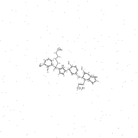 CCOC(=O)/C=C/c1c(Oc2ccc(F)c(-c3ncc(C(C)(CCCCOC(C)=O)c4cccc(Br)c4F)[nH]3)c2)c(F)cc2[nH]ccc12